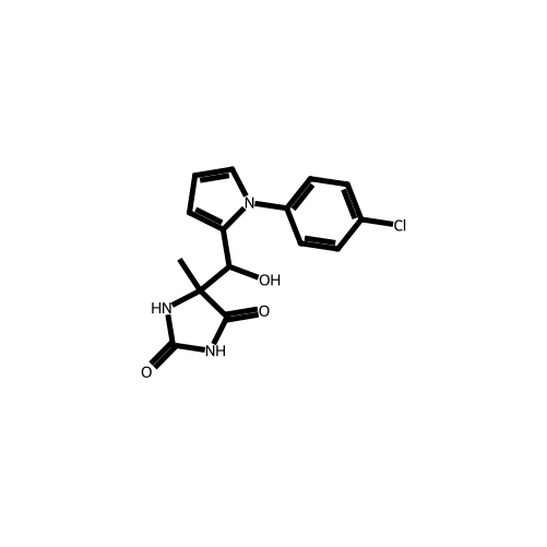 CC1(C(O)c2cccn2-c2ccc(Cl)cc2)NC(=O)NC1=O